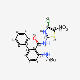 CCCCNc1cccc(-c2ccccc2)c1C(=O)Nc1nc(Cl)c([N+](=O)[O-])s1